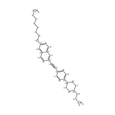 CCCCCCCOc1ccc2cc(C#Cc3ccc(C4CCC(CCC)CC4)cc3)ccc2c1